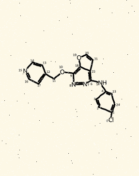 Clc1ccc(Nc2nnc(OCc3ccncc3)c3occc23)cc1